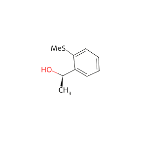 CSc1ccccc1[C@@H](C)O